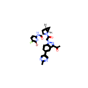 CC(=O)c1nn(CC(=O)N2[C@@H]3C[C@@H]3C[C@H]2C(=O)Nc2ccc(F)c(Br)n2)c2ccc(-c3cnc(C)nc3)cc12